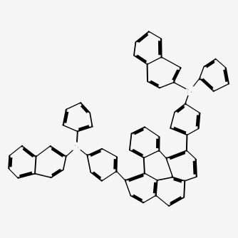 c1ccc(N(c2ccc(-c3ccc4ccc5ccc(-c6ccc(N(c7ccccc7)c7ccc8ccccc8c7)cc6)c6c7ccccc7c3c4c56)cc2)c2ccc3ccccc3c2)cc1